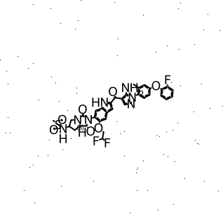 Cc1cc(Oc2ccccc2F)ccc1-n1ncc(C(=O)c2cc3cc(OCC(F)F)c(N4C(=O)[C@@H]5CC(NS(C)(=O)=O)CN5C4=O)cc3[nH]2)c1N